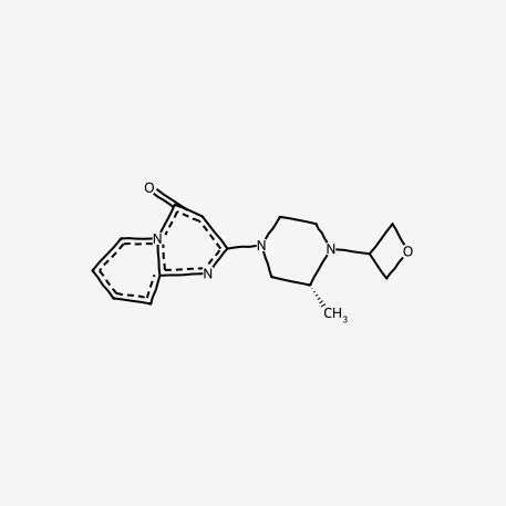 C[C@@H]1CN(c2cc(=O)n3ccccc3n2)CCN1C1COC1